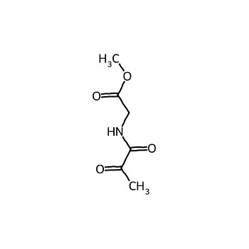 COC(=O)CNC(=O)C(C)=O